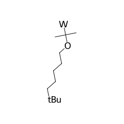 CC(C)(C)CCCCCO[C](C)(C)[W]